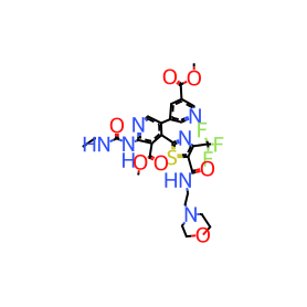 CCNC(=O)Nc1ncc(-c2cncc(C(=O)OC)c2)c(-c2nc(C(F)(F)F)c(C(=O)NCCN3CCOCC3)s2)c1C(=O)OC